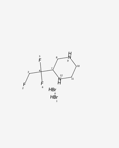 Br.Br.FCC(F)(F)C1CNCCN1